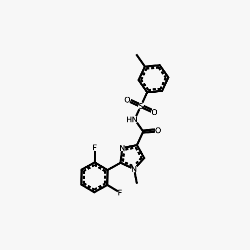 Cc1cccc(S(=O)(=O)NC(=O)c2cn(C)c(-c3c(F)cccc3F)n2)c1